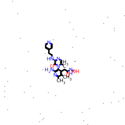 Cc1nc(N)c(-n2c(C)cnc(NCCc3ccncc3)c2=O)c(CC(=O)NO)c1C